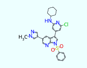 Cn1cc(-c2cnc3c(c2)c(-c2cc(Cl)nc(NC4CCCCC4)c2)cn3S(=O)(=O)c2ccccc2)cn1